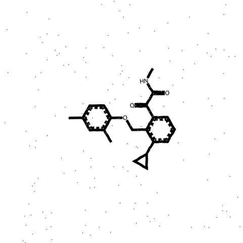 CNC(=O)C(=O)c1cccc(C2CC2)c1COc1ccc(C)cc1C